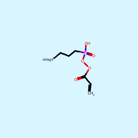 C=CC(=O)OOP(=O)(O)CCCCCCCCCC